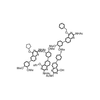 CC(=O)Nc1nc(O)c2cc(-c3ccc(F)cc3)ccc2n1.CCCOc1nc(NC(C)=O)nc2ccc(-c3ccc(OC)c(OC)c3)cc12.COc1ccc(-c2ccc3nc(NC(C)=O)nc(OC4CCCC4)c3c2)cc1OC.COc1ccc(-c2ccc3nc(NC(C)=O)nc(OCc4ccccc4)c3c2)cc1OC